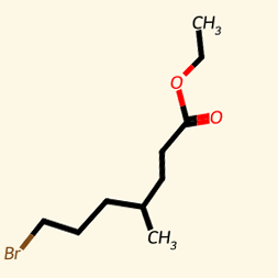 CCOC(=O)CCC(C)CCCBr